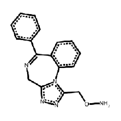 NOCc1nnc2n1-c1ccccc1C(c1ccccc1)=NC2